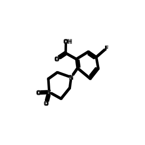 O=C(O)c1cc(F)ccc1N1CCS(=O)(=O)CC1